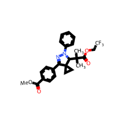 COC(=O)c1ccc(C2=NN(c3ccccc3)C(C(C)(C)C(=O)OCC(F)(F)F)C23CC3)cc1